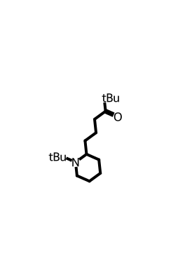 CC(C)(C)C(=O)CCCC1CCCCN1C(C)(C)C